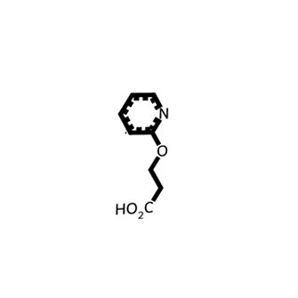 O=C(O)CCOc1[c]cccn1